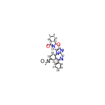 O=C1c2ccccc2C(=O)N1Cc1cnc2n1-c1ccc([N+](=O)[O-])cc1C(c1ccccc1)=NC2